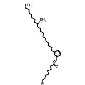 CCCCCCCCC(CCCCCCCCCCCc1cccc(COC(=O)CCCCCCCBr)c1)OC